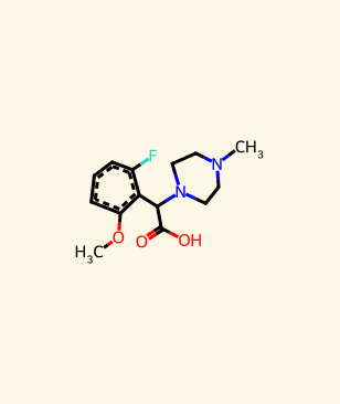 COc1cccc(F)c1C(C(=O)O)N1CCN(C)CC1